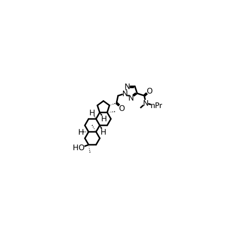 CCCN(C)C(=O)c1cnn(CC(=O)[C@H]2CC[C@H]3[C@@H]4CC[C@@H]5C[C@](C)(O)CC[C@]5(C)[C@H]4CC[C@]23C)n1